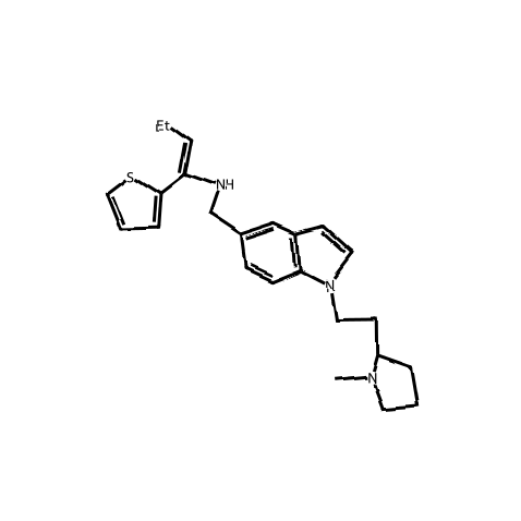 CCC=C(NCc1ccc2c(ccn2CCC2CCCN2C)c1)c1cccs1